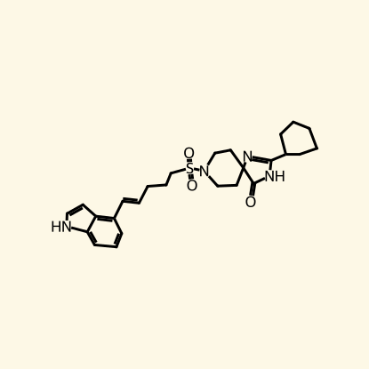 O=C1NC(C2CCCCC2)=NC12CCN(S(=O)(=O)CCCC=Cc1cccc3[nH]ccc13)CC2